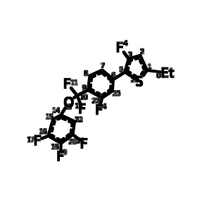 CCc1cc(F)c(-c2ccc(C(F)(F)Oc3cc(F)c(F)c(F)c3)c(F)c2)s1